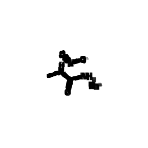 CNC(N)=O.O=N[O-].[Na+]